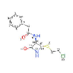 O=C(Cc1ccccc1)N[C@@H]1C(=O)N[C@@H]1SCCCl